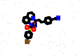 N#Cc1ccc(CCC(=O)N2CCCc3cccc(NS(=O)(=O)c4ccc(Br)cc4)c32)cc1